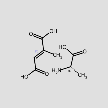 C/C(=C\C(=O)O)C(=O)O.C[C@H](N)C(=O)O